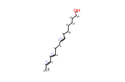 CC/C=C/C=C/CC/C=C/CCCCCCO